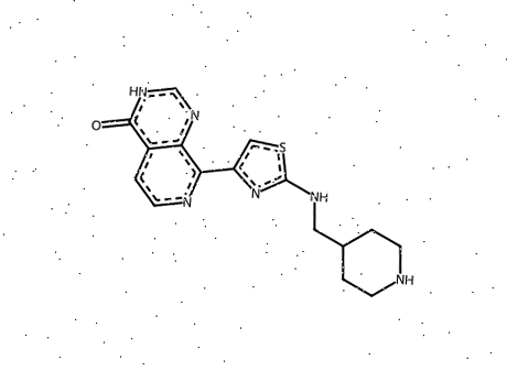 O=c1[nH]cnc2c(-c3csc(NCC4CCNCC4)n3)nccc12